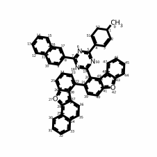 CC1C=CC(c2nc(-c3ccc4ccccc4c3)nc(-c3c(-c4cccc5oc6c7ccccc7ccc6c45)ccc4oc5ccccc5c34)n2)=CC1